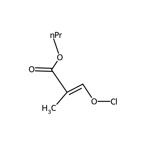 CCCOC(=O)C(C)=COCl